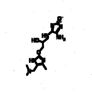 Cc1nc(OCC(O)CNc2n[s+]([O-])nc2N)[nH]c1CN(C)C